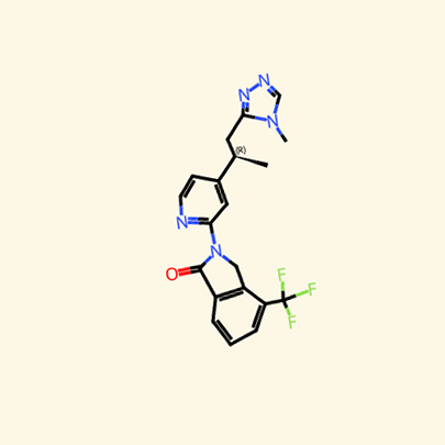 C[C@H](Cc1nncn1C)c1ccnc(N2Cc3c(cccc3C(F)(F)F)C2=O)c1